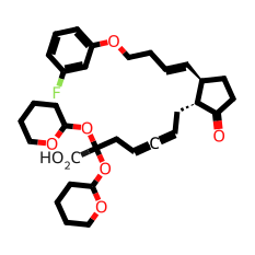 O=C1CC[C@H](/C=C/CCOc2cccc(F)c2)[C@H]1CC=C=CCC(OC1CCCCO1)(OC1CCCCO1)C(=O)O